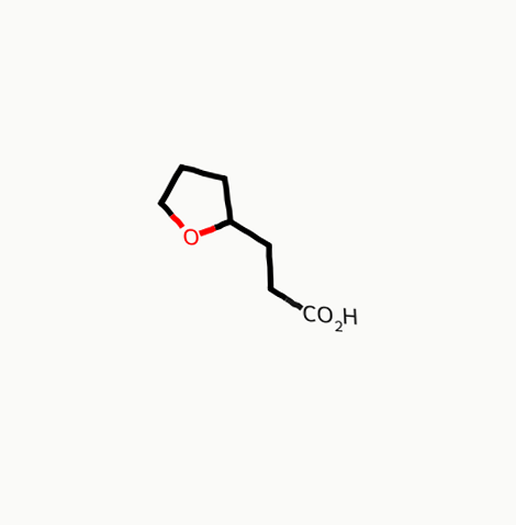 O=C(O)CCC1CCCO1